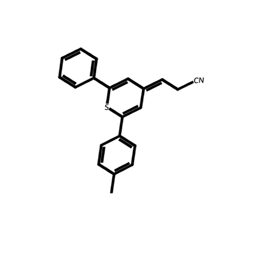 Cc1ccc(C2=CC(=CCC#N)C=C(c3ccccc3)S2)cc1